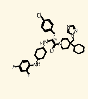 O=C([C@@H](Cc1ccc(Cl)cc1)N[C@H]1CC[C@H](Nc2ccc(F)cc2F)CC1)N1CCC(Cn2cncn2)(C2CCCCC2)CC1